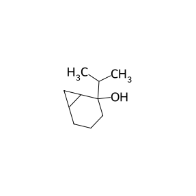 CC(C)C1(O)CCCC2CC21